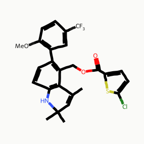 COc1ccc(C(F)(F)F)cc1-c1ccc2c(c1COC(=O)c1ccc(Cl)s1)C(C)=CC(C)(C)N2